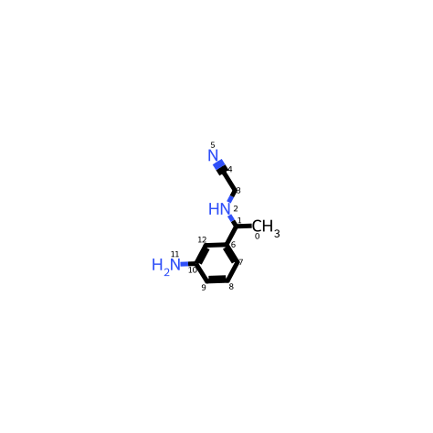 CC(NCC#N)c1cccc(N)c1